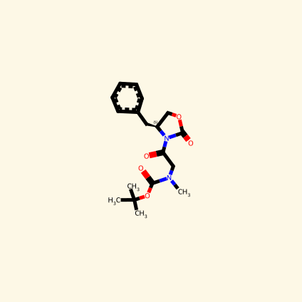 CN(CC(=O)N1C(=O)OC[C@@H]1Cc1ccccc1)C(=O)OC(C)(C)C